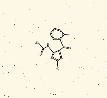 CCC(=O)Nc1sc(Cl)cc1C(=O)c1ccccc1F